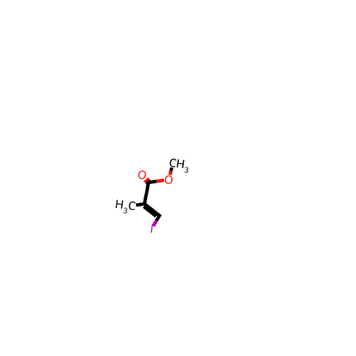 COC(=O)C(C)=CI